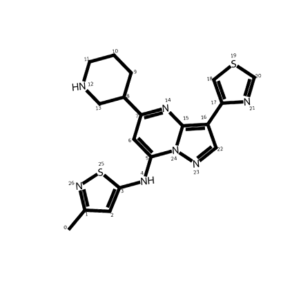 Cc1cc(Nc2cc(C3CCCNC3)nc3c(-c4cscn4)cnn23)sn1